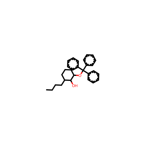 CCCCC1CCCC(OC(c2ccccc2)(c2ccccc2)c2ccccc2)C1O